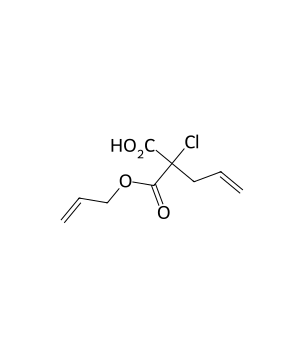 C=CCOC(=O)C(Cl)(CC=C)C(=O)O